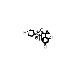 O=C(NS(=O)(=O)C1CCNCC1)C1(c2ccc(Cl)cc2Cl)CC1